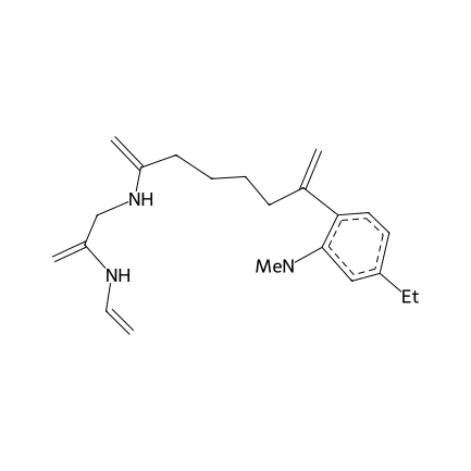 C=CNC(=C)CNC(=C)CCCCC(=C)c1ccc(CC)cc1NC